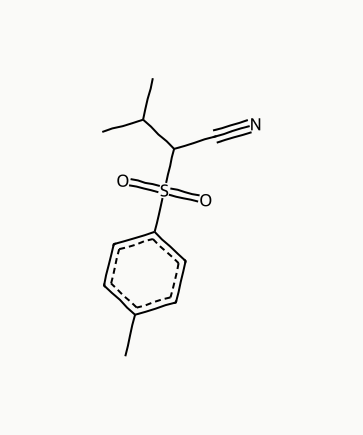 Cc1ccc(S(=O)(=O)C(C#N)C(C)C)cc1